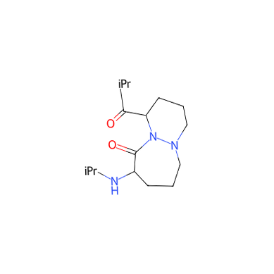 CC(C)NC1CCCN2CCCC(C(=O)C(C)C)N2C1=O